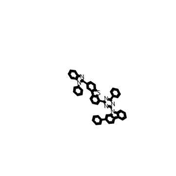 c1ccc(-c2ccc3c4ccccc4n(-c4nc(-c5ccccc5)nc(-c5cccc6c5sc5ccc(-c7nc8ccccc8n7-c7ccccc7)cc56)n4)c3c2)cc1